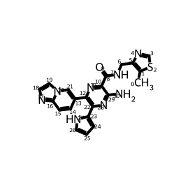 Cc1scnc1CNC(=O)c1nc(-c2ccc3nccn3c2)c(-c2ccc[nH]2)nc1N